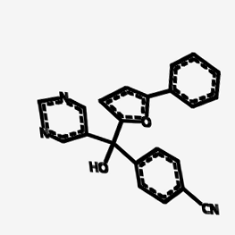 N#Cc1ccc(C(O)(c2cncnc2)c2ccc(-c3ccccc3)o2)cc1